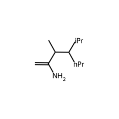 C=C(N)C(C)C(CCC)C(C)C